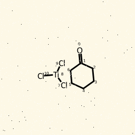 O=C1CCCCC1.[Cl][Ti]([Cl])[Cl]